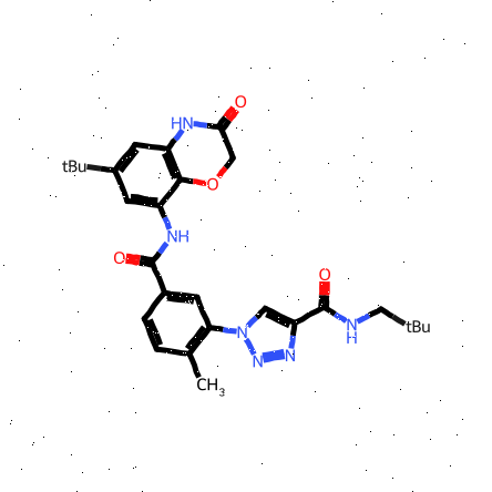 Cc1ccc(C(=O)Nc2cc(C(C)(C)C)cc3c2OCC(=O)N3)cc1-n1cc(C(=O)NCC(C)(C)C)nn1